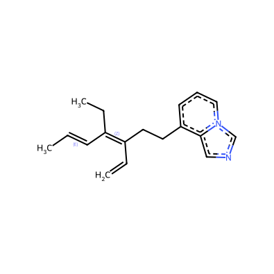 C=C/C(CCc1cccn2cncc12)=C(\C=C\C)CC